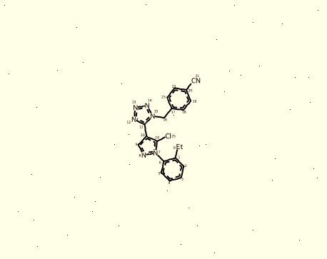 CCc1ccccc1-n1ncc(-c2nnnn2Cc2ccc(C#N)cc2)c1Cl